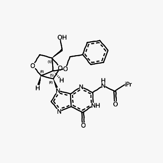 CC(C)C(=O)Nc1nc2c(ncn2[C@@H]2O[C@@]3(CO)CO[C@@H]2[C@@H]3OCc2ccccc2)c(=O)[nH]1